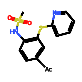 CC(=O)c1ccc(NS(C)(=O)=O)c(Sc2ccccn2)c1